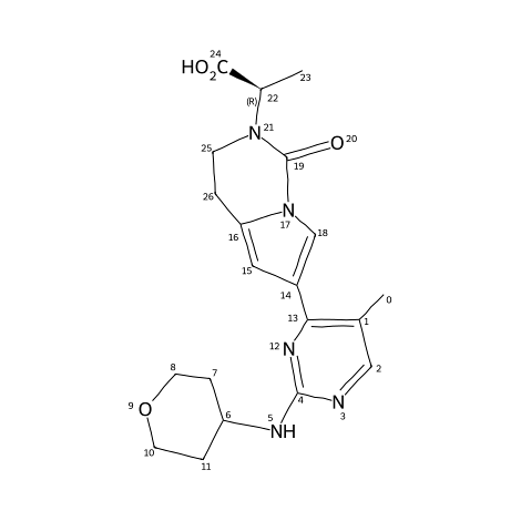 Cc1cnc(NC2CCOCC2)nc1-c1cc2n(c1)C(=O)N([C@H](C)C(=O)O)CC2